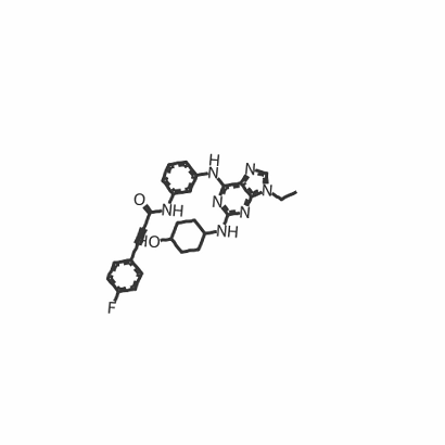 CCn1cnc2c(Nc3cccc(NC(=O)C#Cc4ccc(F)cc4)c3)nc(NC3CCC(O)CC3)nc21